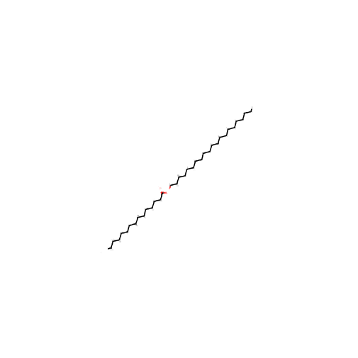 CCCCCCCCCCCCCCCCCCCCCOC(=O)CCCCCCCCCCCCCC